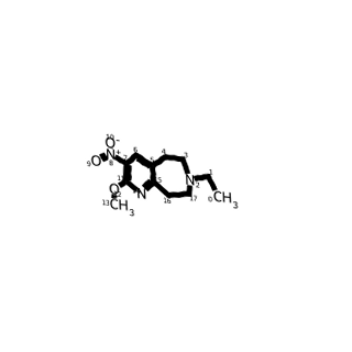 CCN1CCc2cc([N+](=O)[O-])c(OC)nc2CC1